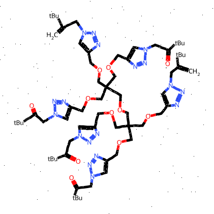 C=C(Cn1cc(COCC(COCc2cn(CC(=O)C(C)(C)C)nn2)(COCc2cn(CC(=O)C(C)(C)C)nn2)COCC(COCc2cn(CC(=C)C(C)(C)C)nn2)(COCc2cn(CC(=O)C(C)(C)C)nn2)COCc2cn(CC(=O)C(C)(C)C)nn2)nn1)C(C)(C)C